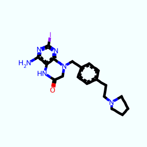 Nc1nc(I)nc2c1NC(=O)CN2Cc1ccc(CCN2CCCC2)cc1